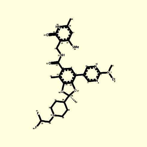 CCN(C)c1ncc(-c2cc(C(=O)NCc3c(SC)cc(C)[nH]c3=O)c(C)c3c2O[C@@](C)(C2CCN(CC(F)F)CC2)O3)cn1